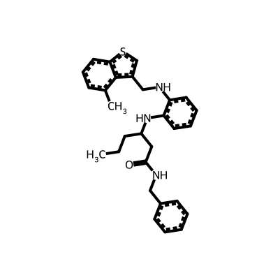 CCCC(CC(=O)NCc1ccccc1)Nc1ccccc1NCc1csc2cccc(C)c12